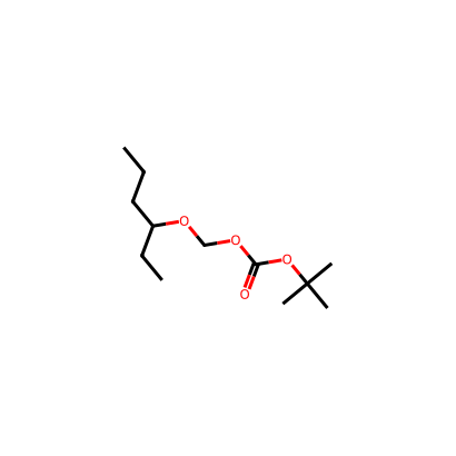 CCCC(CC)OCOC(=O)OC(C)(C)C